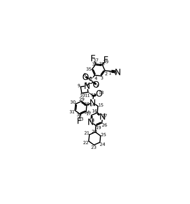 N#Cc1cc(S(=O)(=O)N2CC[C@@H]2C(=O)N(Cc2cnc(C3CCCCC3)cn2)c2cccc(F)c2)cc(F)c1F